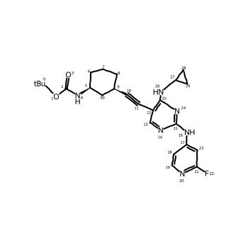 CC(C)(C)OC(=O)N[C@H]1CCC[C@@H](C#Cc2cnc(Nc3ccnc(F)c3)nc2NC2CC2)C1